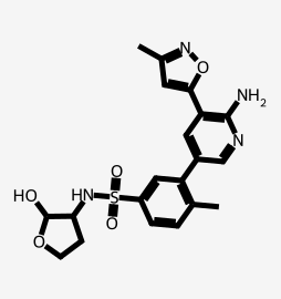 Cc1cc(-c2cc(-c3cc(S(=O)(=O)NC4CCOC4O)ccc3C)cnc2N)on1